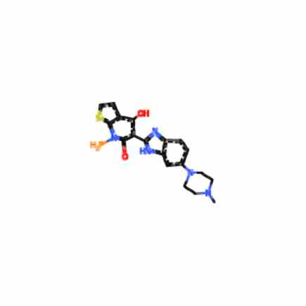 CN1CCN(c2ccc3nc(-c4c(O)c5ccsc5n(P)c4=O)[nH]c3c2)CC1